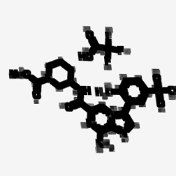 COC(=O)N1CCCC(NC(=O)c2cn3c(-c4cc(S(C)(=O)=O)ccc4C)cnc3c(N)n2)C1.O=C(O)C(F)(F)F